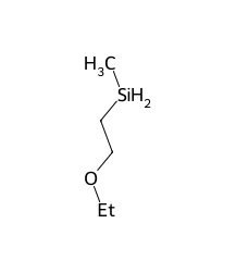 CCOCC[SiH2]C